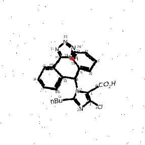 CCCCc1nc(Cl)c(C(=O)O)n1C(c1ccccc1)c1ccccc1-c1nnn[nH]1